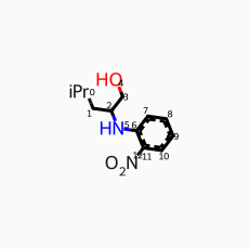 CC(C)CC(CO)Nc1cc[c]cc1[N+](=O)[O-]